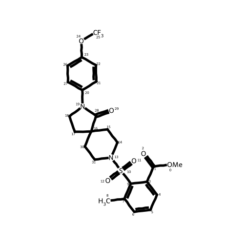 COC(=O)c1cccc(C)c1S(=O)(=O)N1CCC2(CCN(c3ccc(OC(F)(F)F)cc3)C2=O)CC1